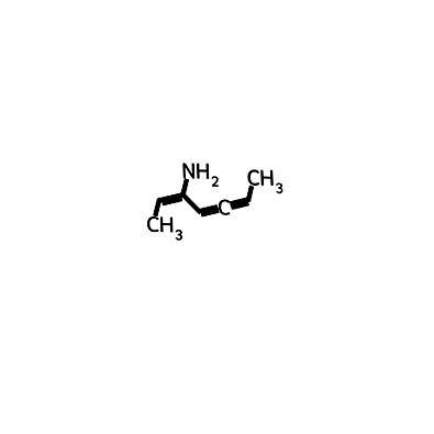 CC=C=C/C(N)=C\C